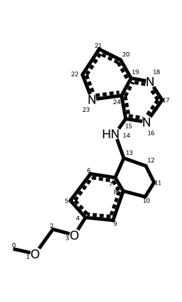 COCOc1ccc2c(c1)CCCC2Nc1ncnc2cccnc12